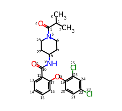 CC(C)C(=O)N1CCC(NC(=O)c2ccccc2Oc2ccc(Cl)cc2Cl)CC1